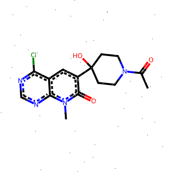 CC(=O)N1CCC(O)(c2cc3c(Cl)ncnc3n(C)c2=O)CC1